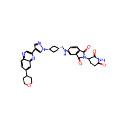 O=C1CCC(N2C(=O)c3ccc(NC[C@H]4C[C@H](n5cc(-c6cnc7ccc(C8CCOCC8)cc7n6)cn5)C4)cc3C2=O)C(=O)N1